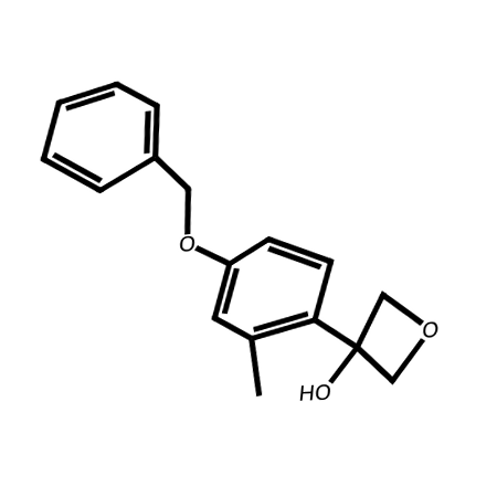 Cc1cc(OCc2ccccc2)ccc1C1(O)COC1